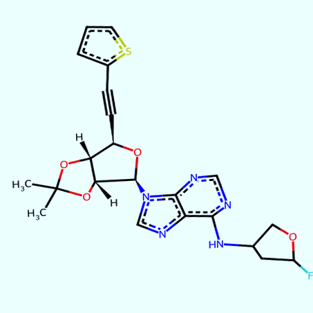 CC1(C)O[C@@H]2[C@H](O1)[C@@H](C#Cc1cccs1)O[C@H]2n1cnc2c(NC3COC(F)C3)ncnc21